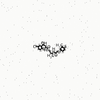 C=C(CCNC(=O)[C@@H]1C[C@H](O)c2cc(Cl)ccc2O1)NC(=O)COc1ccc(F)c(C)c1